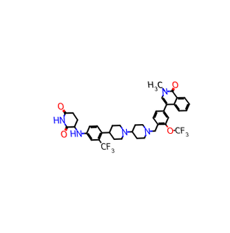 Cn1cc(-c2ccc(CN3CCC(N4CCC(c5ccc(NC6CCC(=O)NC6=O)cc5C(F)(F)F)CC4)CC3)c(OC(F)(F)F)c2)c2ccccc2c1=O